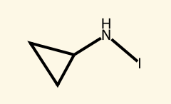 INC1CC1